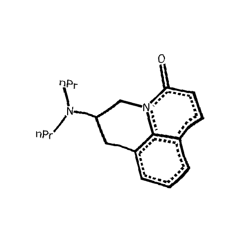 CCCN(CCC)C1Cc2cccc3ccc(=O)n(c23)C1